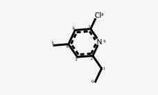 CCc1cc(C)cc(Cl)n1